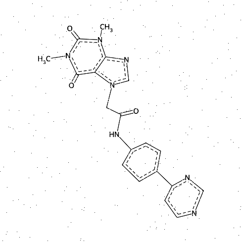 Cn1c(=O)c2c(ncn2CC(=O)Nc2ccc(-c3ccncn3)cc2)n(C)c1=O